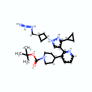 CC(C)(C)OC(=O)N1CCC(c2cccnc2-c2cn([C@H]3C[C@H](CN=[N+]=[N-])C3)nc2C2CC2)CC1